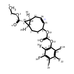 CCOC(=O)[C@H]1[C@@H]2CCC(OC(=O)Oc3c(F)c(F)c(F)c(F)c3F)/C=C\C[C@@H]21